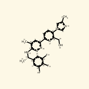 Cc1cn(-c2ccc(-c3cc(C)c(N[C@@H](C)c4cc(F)c(F)c(F)c4)nn3)nc2CO)cn1